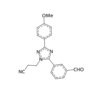 COc1ccc(-c2nc(-c3cccc(C=O)c3)n(CCC#N)n2)cc1